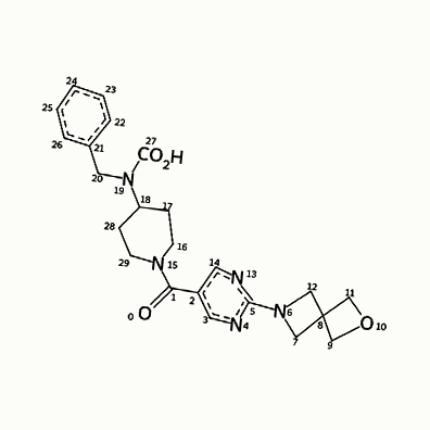 O=C(c1cnc(N2CC3(COC3)C2)nc1)N1CCC(N(Cc2ccccc2)C(=O)O)CC1